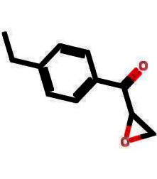 CCc1ccc(C(=O)C2CO2)cc1